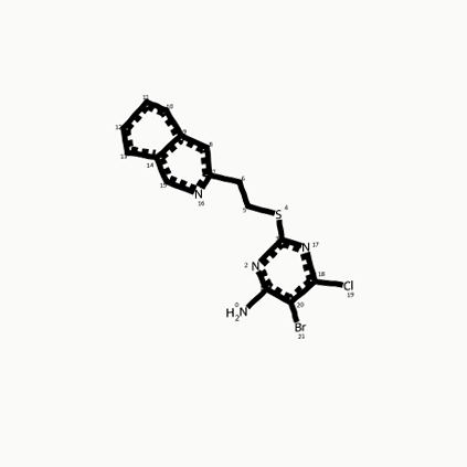 Nc1nc(SCCc2cc3ccccc3cn2)nc(Cl)c1Br